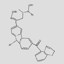 CCn1c2ccc(C(=O)c3cccc4c3C=CCC4)cc2c2cc(/C(CC(C)N(OC(C)=O)C(C)=O)=N/OC(C)=O)ccc21